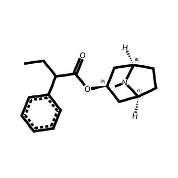 CCC(C(=O)O[C@H]1C[C@H]2CC[C@@H](C1)N2C)c1ccccc1